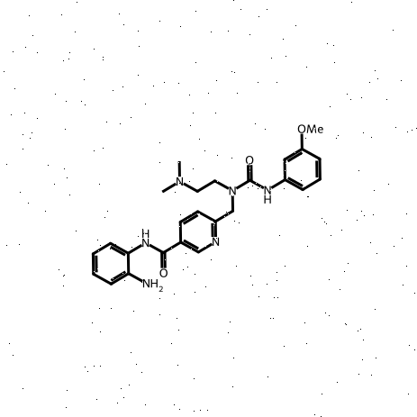 COc1cccc(NC(=O)N(CCN(C)C)Cc2ccc(C(=O)Nc3ccccc3N)cn2)c1